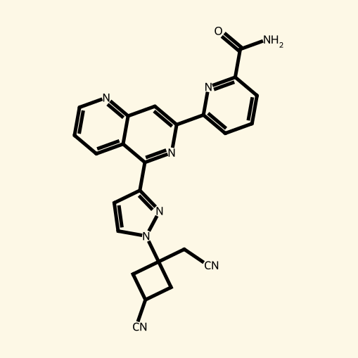 N#CCC1(n2ccc(-c3nc(-c4cccc(C(N)=O)n4)cc4ncccc34)n2)CC(C#N)C1